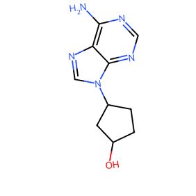 Nc1ncnc2c1ncn2C1CCC(O)C1